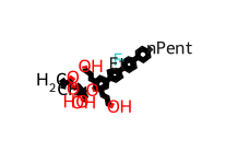 C=C(C)C(=O)OCC(CO)(CO)COc1c(CCCO)cc(-c2ccc(-c3ccc(C4CCC(CCCCC)CC4)cc3F)c(CC)c2)cc1CCCO